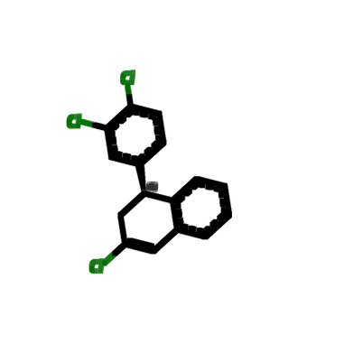 ClC1=Cc2ccccc2[C@H](c2ccc(Cl)c(Cl)c2)C1